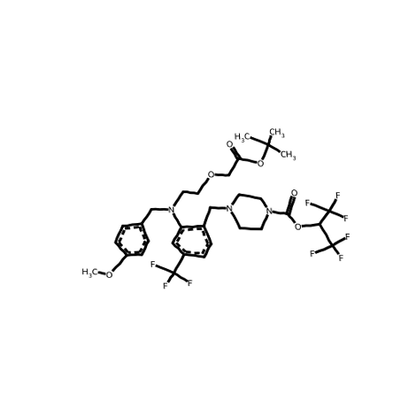 COc1ccc(CN(CCOCC(=O)OC(C)(C)C)c2cc(C(F)(F)F)ccc2CN2CCN(C(=O)OC(C(F)(F)F)C(F)(F)F)CC2)cc1